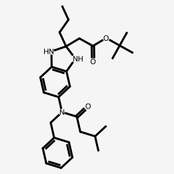 CCCC1(CC(=O)OC(C)(C)C)Nc2ccc(N(Cc3ccccc3)C(=O)CC(C)C)cc2N1